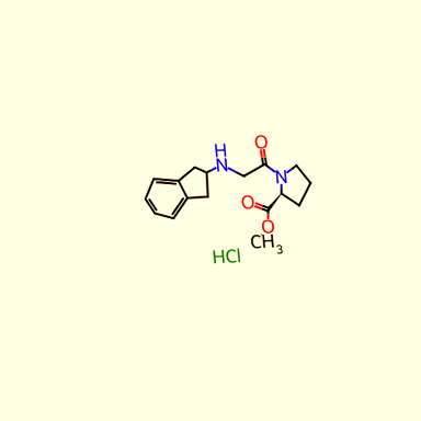 COC(=O)[C@@H]1CCCN1C(=O)CNC1Cc2ccccc2C1.Cl